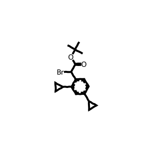 CC(C)(C)OC(=O)C(Br)c1ccc(C2CC2)cc1C1CC1